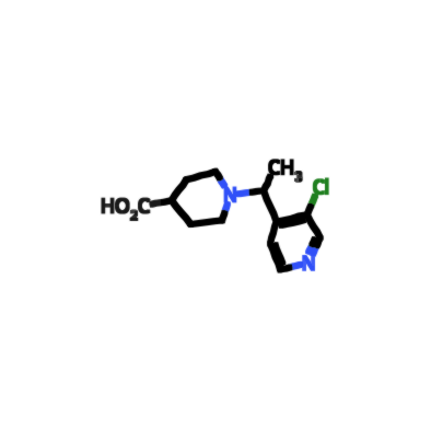 CC(c1ccncc1Cl)N1CCC(C(=O)O)CC1